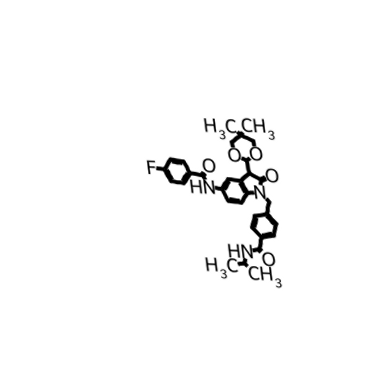 CC(C)NC(=O)c1ccc(CN2C(=O)C(C3OCC(C)(C)CO3)c3cc(NC(=O)c4ccc(F)cc4)ccc32)cc1